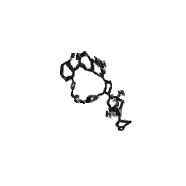 Fc1cccc2c1-c1cc3c(n[nH]c3cn1)-c1ccc(N3C[C@@H]4C[C@H]3CN4C3COC3)c(c1)OCCCO2